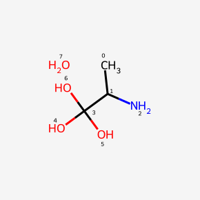 CC(N)C(O)(O)O.O